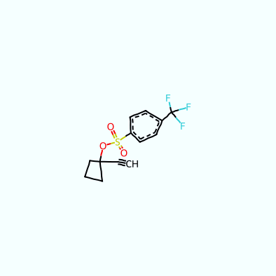 C#CC1(OS(=O)(=O)c2ccc(C(F)(F)F)cc2)CCC1